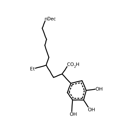 CCCCCCCCCCCCCCC(CC)CC(C(=O)O)c1cc(O)c(O)c(O)c1